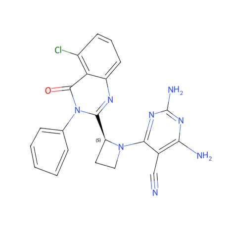 N#Cc1c(N)nc(N)nc1N1CC[C@H]1c1nc2cccc(Cl)c2c(=O)n1-c1ccccc1